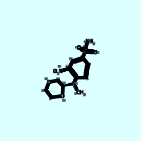 CN(c1ccc(S(N)(=O)=O)cc1[N+](=O)[O-])[C@@H]1COCCO1